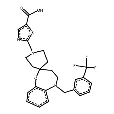 O=C(O)c1cnc(N2CCC3(CC2)CCN(Cc2cccc(C(F)(F)F)c2)c2ccccc2O3)s1